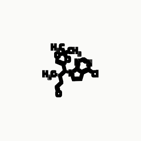 C[C@@H](CC=O)[C@H](C1=COC(C)(C)O1)n1ccc2c(Cl)ncnc21